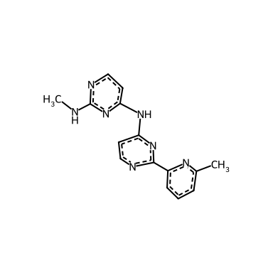 CNc1nccc(Nc2ccnc(-c3cccc(C)n3)n2)n1